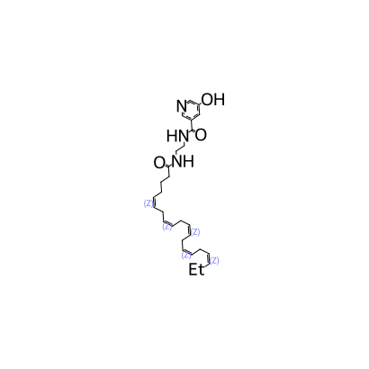 CC/C=C\C/C=C\C/C=C\C/C=C\C/C=C\CCCC(=O)NCCNC(=O)c1cncc(O)c1